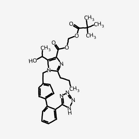 CCCc1nc(C(=O)OCOC(=O)C(C)(C)C)c(C(C)O)n1Cc1ccc(-c2ccccc2-c2nnn[nH]2)cc1